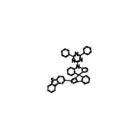 c1ccc(-c2nc(-c3ccccc3)nc(N3c4ccccc4C4(c5ccccc5-c5ccc(-c6ccc7sc8ccccc8c7c6)cc54)c4ccccc43)n2)cc1